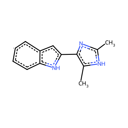 Cc1nc(-c2cc3c[c]ccc3[nH]2)c(C)[nH]1